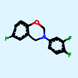 Fc1ccc2c(c1)CN(c1ccc(F)c(F)c1)CO2